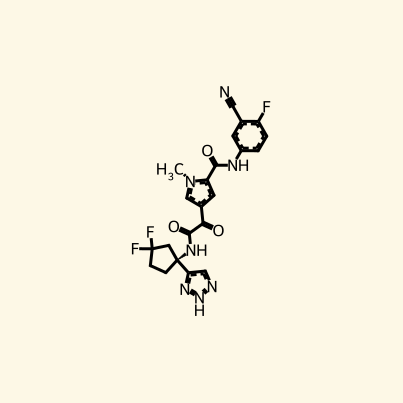 Cn1cc(C(=O)C(=O)N[C@@]2(c3cn[nH]n3)CCC(F)(F)C2)cc1C(=O)Nc1ccc(F)c(C#N)c1